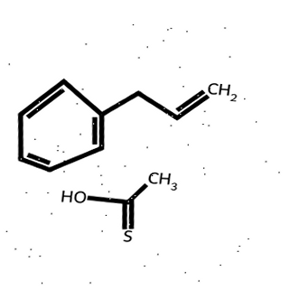 C=CCc1ccccc1.CC(O)=S